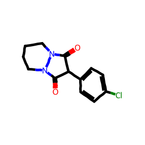 O=C1C(c2ccc(Cl)cc2)C(=O)N2CCCCN12